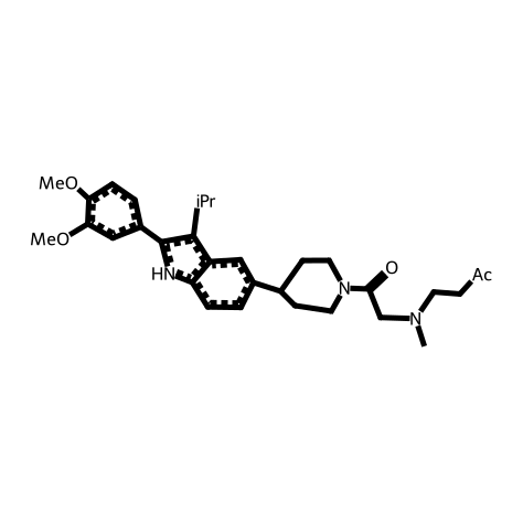 COc1ccc(-c2[nH]c3ccc(C4CCN(C(=O)CN(C)CCC(C)=O)CC4)cc3c2C(C)C)cc1OC